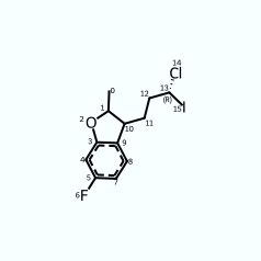 CC1Oc2cc(F)ccc2C1CC[C@H](Cl)I